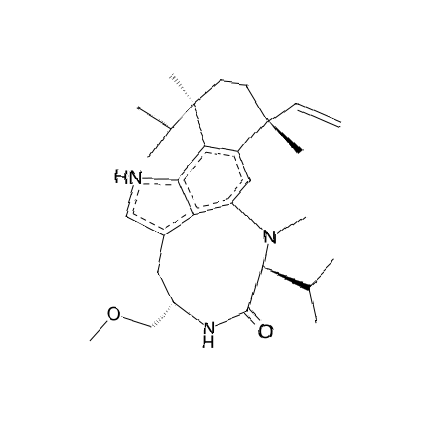 C=C[C@@]1(C)CC[C@](C)(C(C)C)c2c1cc1c3c(c[nH]c23)C[C@@H](COC)NC(=O)[C@H](C(C)C)N1C